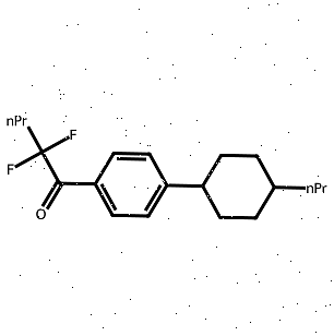 CCCC1CCC(c2ccc(C(=O)C(F)(F)CCC)cc2)CC1